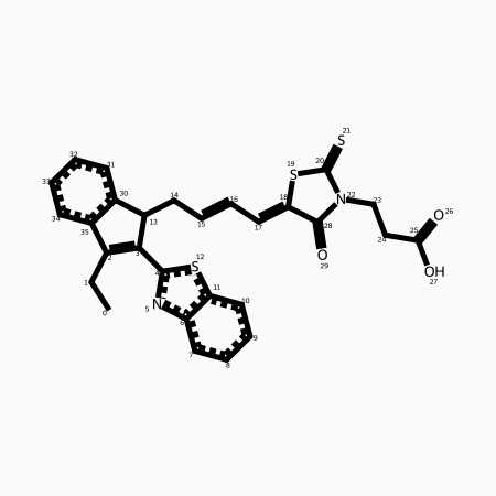 CCC1=C(c2nc3ccccc3s2)C(CC=CC=C2SC(=S)N(CCC(=O)O)C2=O)c2ccccc21